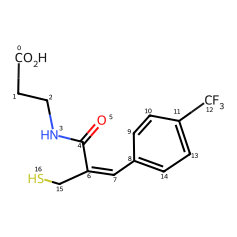 O=C(O)CCNC(=O)/C(=C\c1ccc(C(F)(F)F)cc1)CS